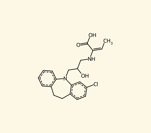 CC=C(NCC(O)CN1c2ccccc2CCc2ccc(Cl)cc21)C(=O)O